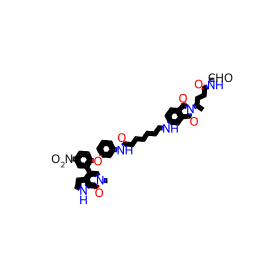 CC(CCC(=O)NC=O)N1C(=O)c2ccc(NCCCCCCC(=O)Nc3cccc(Oc4ccc([N+](=O)[O-])cc4-c4cn(C)c(=O)c5[nH]ccc45)c3)cc2C1=O